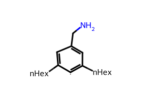 CCCCCCc1[c]c(CCCCCC)cc(CN)c1